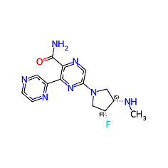 CN[C@H]1CN(c2cnc(C(N)=O)c(-c3cnccn3)n2)C[C@H]1F